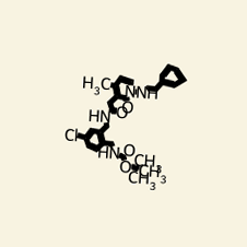 Cc1ccn(NCCc2ccccc2)c(=O)c1CC(=O)NCc1cc(Cl)ccc1CNC(=O)OC(C)(C)C